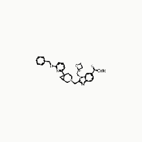 COC(=O)c1ccc2nc(CN3CCC4(c5cccc(OCc6ccccc6)n5)CC4C3)n(C[C@@H]3CCO3)c2c1